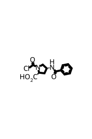 O=C(N[C@@H]1C[C@@H](C(=O)O)N(C(=O)Cl)C1)c1ccccc1